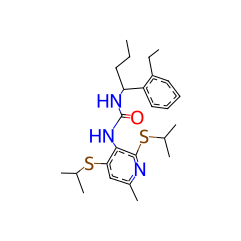 CCCC(NC(=O)Nc1c(SC(C)C)cc(C)nc1SC(C)C)c1ccccc1CC